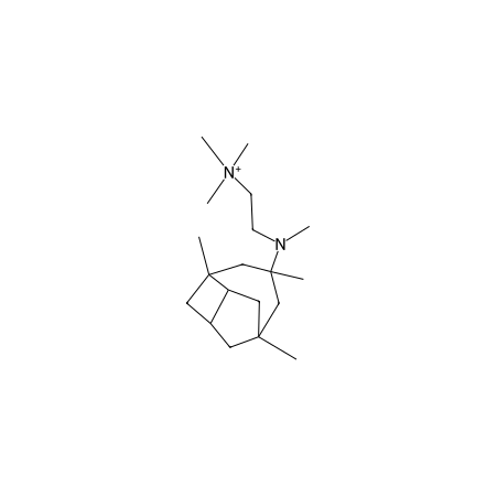 CN(CC[N+](C)(C)C)C1(C)CC2(C)CC3CC(C)(C1)C3C2